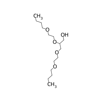 CCCCOCCOCC(CO)OCCOCCCC